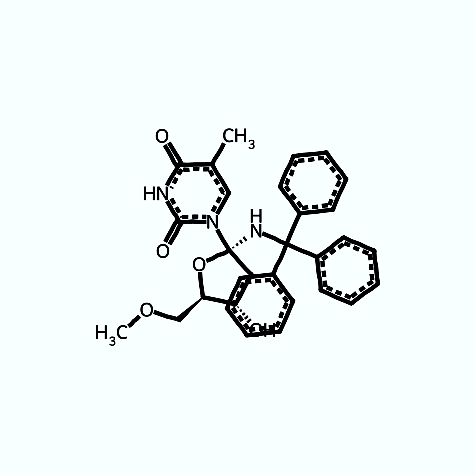 COC[C@H]1O[C@@](NC(c2ccccc2)(c2ccccc2)c2ccccc2)(n2cc(C)c(=O)[nH]c2=O)C[C@@H]1O